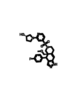 COC[C@@]12CN(S(=O)(=O)c3ccnc(N4CC[C@H](O)C4)c3)CCC1=Cc1[nH]ncc1C2c1ccc(F)cc1